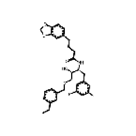 CCc1cccc(CNC[C@@H](O)[C@H](Cc2cc(F)cc(F)c2)NC(=O)CCCc2ccc3c(c2)OCO3)c1